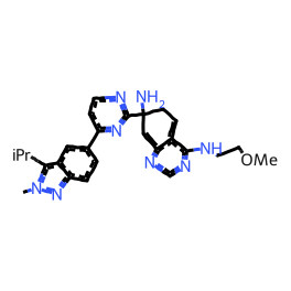 COCCNc1ncnc2c1=CCC(N)(c1nccc(-c3ccc4nn(C)c(C(C)C)c4c3)n1)C=2